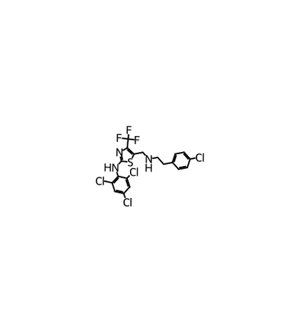 FC(F)(F)c1nc(Nc2c(Cl)cc(Cl)cc2Cl)sc1CNCCc1ccc(Cl)cc1